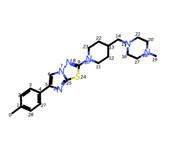 Cc1ccc(-c2cn3nc(N4CCC(CN5CCN(C)CC5)CC4)sc3n2)cc1